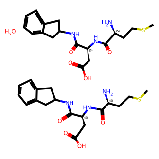 CSCC[C@H](N)C(=O)N[C@@H](CC(=O)O)C(=O)NC1Cc2ccccc2C1.CSCC[C@H](N)C(=O)N[C@@H](CC(=O)O)C(=O)NC1Cc2ccccc2C1.O